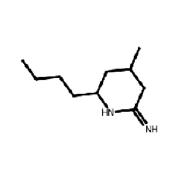 CCCCC1CC(C)CC(=N)N1